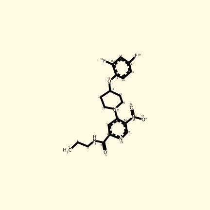 CCCNC(=O)c1cc(N2CCC(Oc3ccc(F)cc3F)CC2)c([N+](=O)[O-])cn1